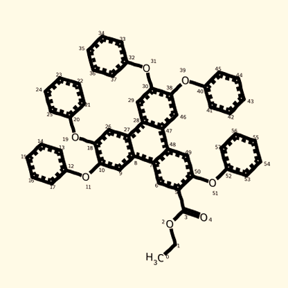 CCOC(=O)c1cc2c3cc(Oc4ccccc4)c(Oc4ccccc4)cc3c3cc(Oc4ccccc4)c(Oc4ccccc4)cc3c2cc1Oc1ccccc1